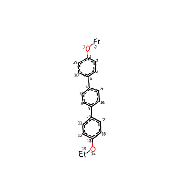 CCOc1ccc(-c2[c]cc(-c3ccc(OCC)cc3)cc2)cc1